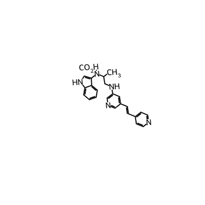 CC(CNc1cncc(C=Cc2ccncc2)c1)N(C(=O)O)c1c[nH]c2ccccc12